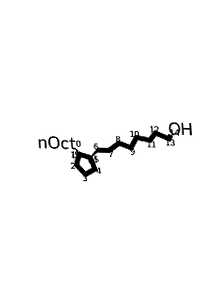 CCCCCCCC[C@H]1CCC[C@@H]1CCCCCCCCO